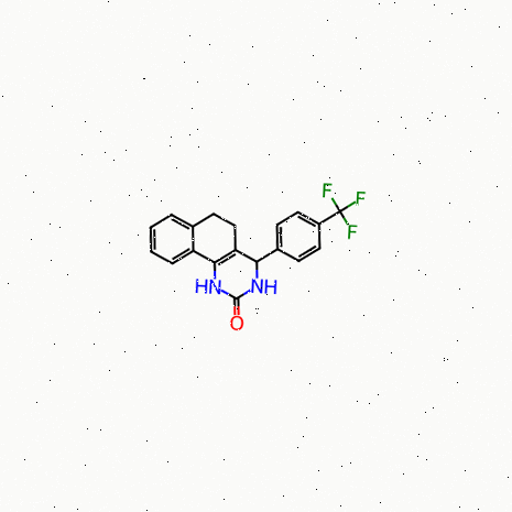 O=C1NC2=C(CCc3ccccc32)C(c2ccc(C(F)(F)F)cc2)N1